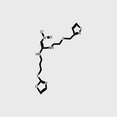 O=[N+]([O-])/C=C(/NCCCSc1ncco1)NCCSCc1ccsn1